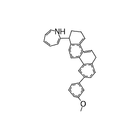 COc1cccc(-c2ccc3c(c2)-c2ccc4c(c2=CC3)=CCCC4C2=CC=CC=CN2)c1